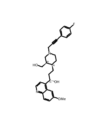 COc1ccc2nccc([C@@H](O)CC[C@@H]3CCN(CC#Cc4ccc(F)cc4)C[C@@H]3CO)c2c1